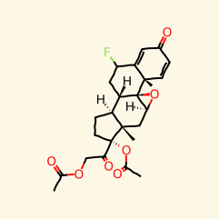 CC(=O)OCC(=O)[C@@]1(OC(C)=O)CC[C@H]2[C@@H]3CC(F)C4=CC(=O)C=C[C@]4(C)[C@@]34O[C@H]4C[C@@]21C